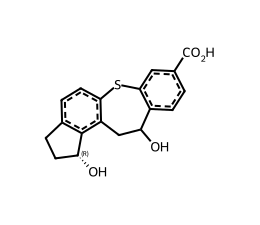 O=C(O)c1ccc2c(c1)Sc1ccc3c(c1CC2O)[C@H](O)CC3